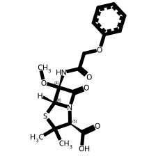 CO[C@]1(NC(=O)COc2ccccc2)C(=O)N2[C@@H](C(=O)O)C(C)(C)S[C@@H]21